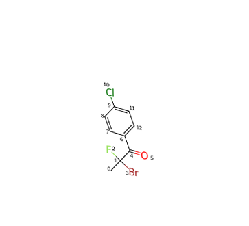 CC(F)(Br)C(=O)c1ccc(Cl)cc1